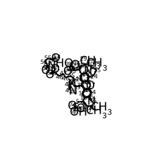 CC1(C)C=C(CS(=O)(=O)O)c2cc3c(cc2=N1)Oc1c(cc2c4c1CCCN4C(C)(C)C=C2CS(=O)(=O)O)C=3c1nccn1CCCCCC(=O)ON1C(=O)CCC1=O